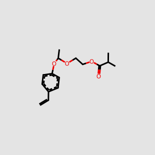 C=Cc1ccc(OC(C)OCCOC(=O)C(C)C)cc1